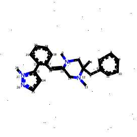 CN1CC(C)(Cc2ccccc2)N(C)CC1=Cc1ccccc1-c1ccnn1C